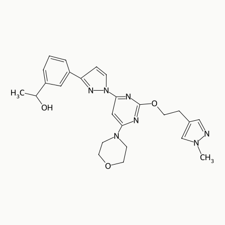 CC(O)c1cccc(-c2ccn(-c3cc(N4CCOCC4)nc(OCCc4cnn(C)c4)n3)n2)c1